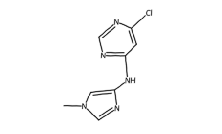 Cn1cnc(Nc2cc(Cl)ncn2)c1